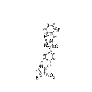 Cn1nc(Br)c([N+](=O)[O-])c1Oc1ccc(-n2ncn(Cc3c(F)cccc3F)c2=O)cc1